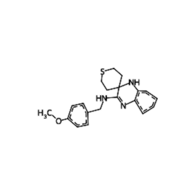 COc1ccc(CNC2=Nc3ccccc3NC23CCSCC3)cc1